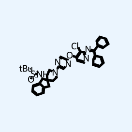 CC(C)(C)[S@@+]([O-])N[C@@H]1c2ccccc2CC12CCN(c1cnc(Oc3ccnc(N=C(c4ccccc4)c4ccccc4)c3Cl)cn1)CC2